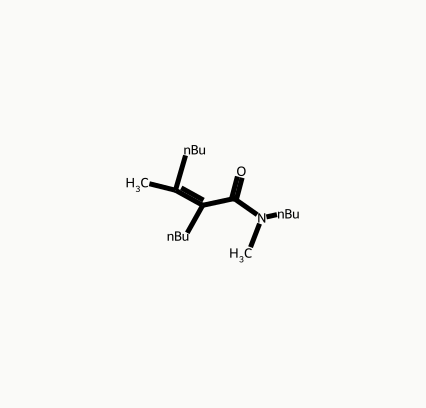 CCCCC(C)=C(CCCC)C(=O)N(C)CCCC